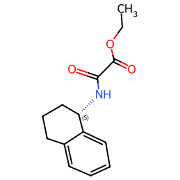 CCOC(=O)C(=O)N[C@H]1CCCc2ccccc21